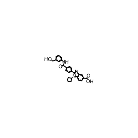 O=C(O)c1ccc2c(c1)nc(-c1ccc(C(=O)Nc3cccc(CO)c3)cc1)n2C1CCCC1